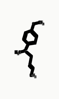 C/C=C/CN(C)c1ccc(OC(F)(F)F)cc1